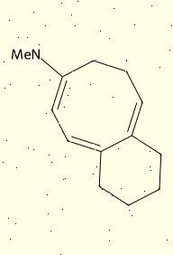 CN/C1=C/C=C2/CCCC/C2=C/CC1